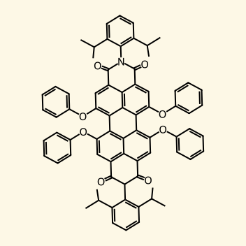 CC(C)c1cccc(C(C)C)c1C1C(=O)c2cc(Oc3ccccc3)c3c4c(Oc5ccccc5)cc5c6c(cc(Oc7ccccc7)c(c7c(Oc8ccccc8)cc(c2c37)C1=O)c64)C(=O)N(c1c(C(C)C)cccc1C(C)C)C5=O